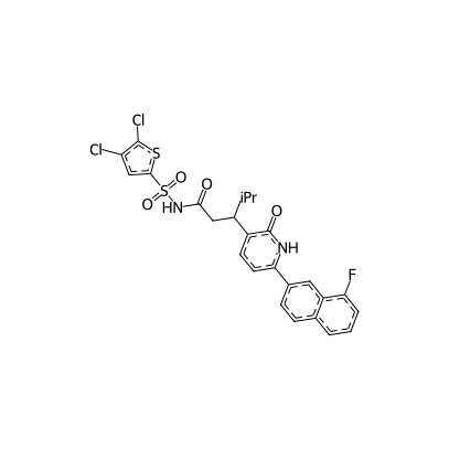 CC(C)C(CC(=O)NS(=O)(=O)c1cc(Cl)c(Cl)s1)c1ccc(-c2ccc3cccc(F)c3c2)[nH]c1=O